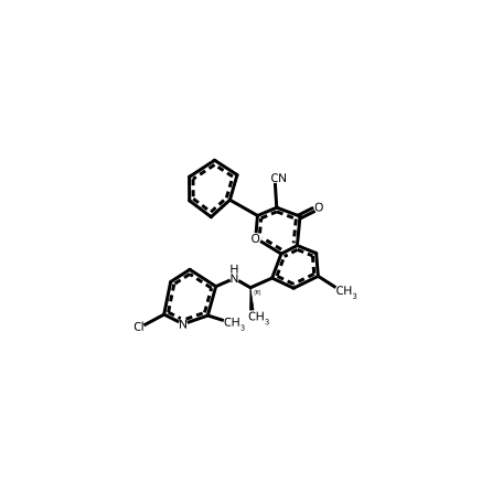 Cc1cc([C@@H](C)Nc2ccc(Cl)nc2C)c2oc(-c3ccccc3)c(C#N)c(=O)c2c1